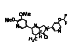 COc1cc(C2=CC(C)[C@H]3C(=O)N(c4cncc(OC(F)F)c4)CC3=N2)cnc1OC